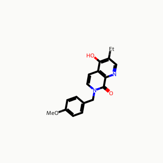 CCc1cnc2c(=O)n(Cc3ccc(OC)cc3)ccc2c1O